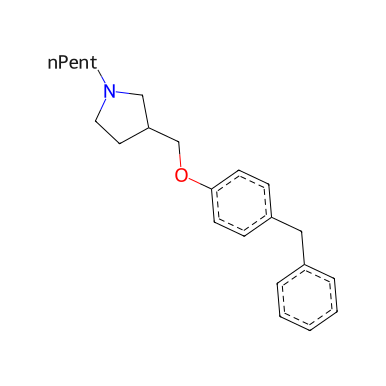 CCCCCN1CCC(COc2ccc(Cc3ccccc3)cc2)C1